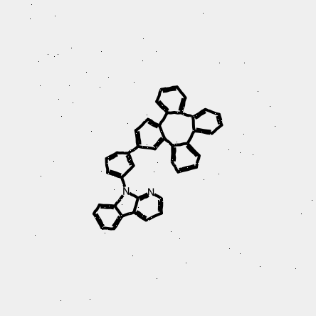 c1cc(-c2ccc3c(c2)-c2ccccc2-c2ccccc2-c2ccccc2-3)cc(-n2c3ccccc3c3cccnc32)c1